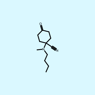 CCCCN(C)C1(C#N)CCC(=O)CC1